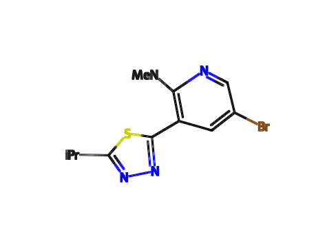 CNc1ncc(Br)cc1-c1nnc(C(C)C)s1